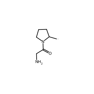 [CH2]C1CCCN1C(=O)CN